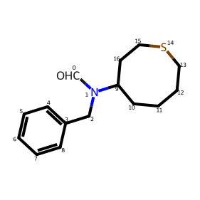 O=CN(Cc1ccccc1)C1CCCCSCC1